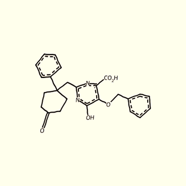 O=C1CCC(Cc2nc(O)c(OCc3ccccc3)c(C(=O)O)n2)(c2ccccc2)CC1